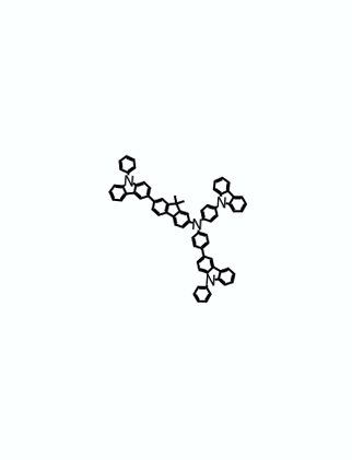 CC1(C)c2cc(-c3ccc4c(c3)c3ccccc3n4-c3ccccc3)ccc2-c2ccc(N(c3ccc(-c4ccc5c(c4)c4ccccc4n5-c4ccccc4)cc3)c3ccc(-n4c5ccccc5c5ccccc54)cc3)cc21